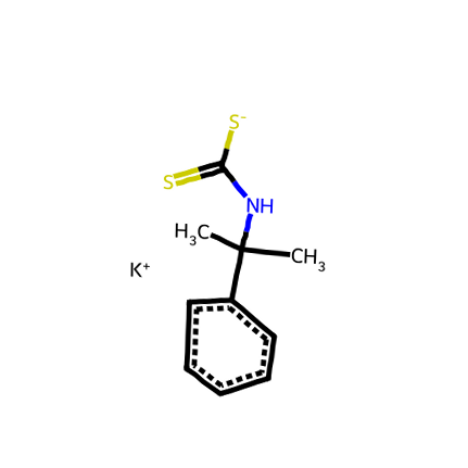 CC(C)(NC(=S)[S-])c1ccccc1.[K+]